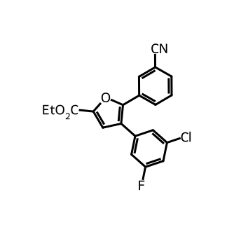 CCOC(=O)c1cc(-c2cc(F)cc(Cl)c2)c(-c2cccc(C#N)c2)o1